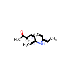 C=C/C(=C\C)NC(/C=C\C(=C)C(C)=O)=C/C